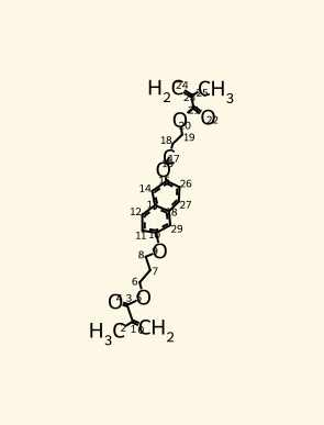 C=C(C)C(=O)OCCCOc1ccc2cc(OCCCOC(=O)C(=C)C)ccc2c1